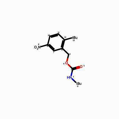 CC(C)(C)NC(=O)OCc1cc([N+](=O)[O-])ccc1C(C)(C)C